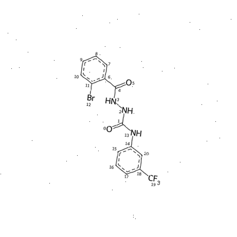 O=C(NNC(=O)c1ccccc1Br)Nc1cccc(C(F)(F)F)c1